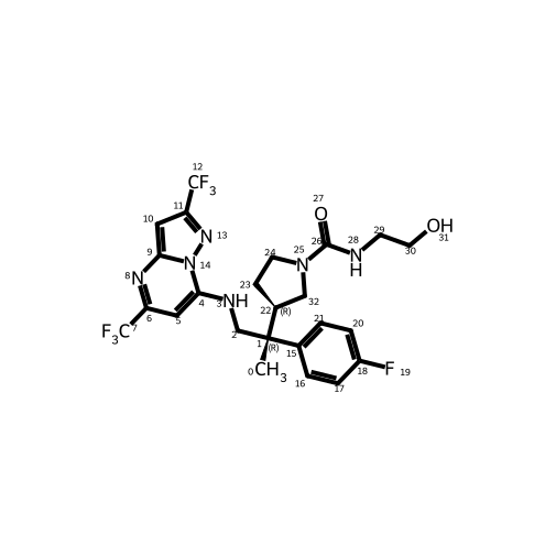 C[C@](CNc1cc(C(F)(F)F)nc2cc(C(F)(F)F)nn12)(c1ccc(F)cc1)[C@H]1CCN(C(=O)NCCO)C1